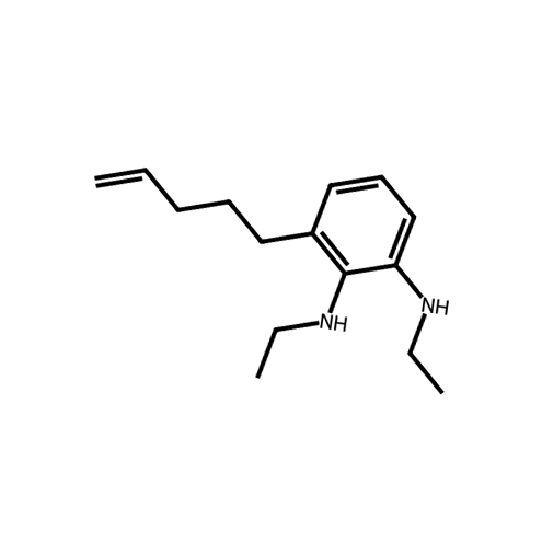 C=CCCCc1cccc(NCC)c1NCC